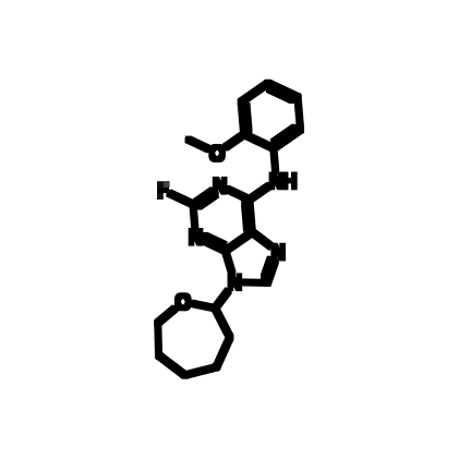 COc1ccccc1Nc1nc(F)nc2c1ncn2C1CCCCCO1